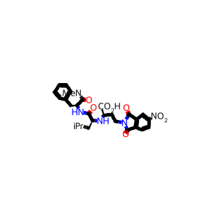 CNC(=O)[C@H](Cc1ccccc1)NC(=O)[C@H](CC(C)C)N[C@H](CCN1C(=O)c2ccc([N+](=O)[O-])cc2C1=O)C(=O)O